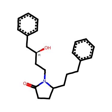 O=C1CCC(CCCc2ccccc2)N1CC[C@H](O)Cc1ccccc1